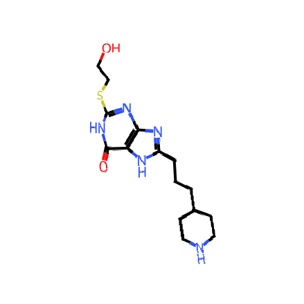 O=c1[nH]c(SCCO)nc2nc(CCCC3CCNCC3)[nH]c12